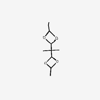 CC1OC(C(C)(C)C2OC(C)O2)O1